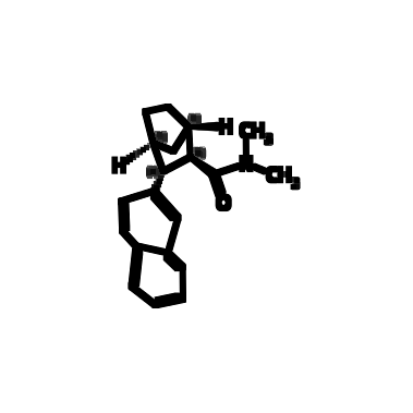 CN(C)C(=O)[C@@H]1[C@H]2CC[C@@H](C2)[C@H]1c1ccc2ccccc2c1